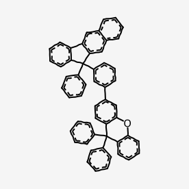 c1ccc(C2(c3ccccc3)c3ccccc3Oc3cc(-c4cccc(C5(c6ccccc6)c6ccccc6-c6cc7ccccc7cc65)c4)ccc32)cc1